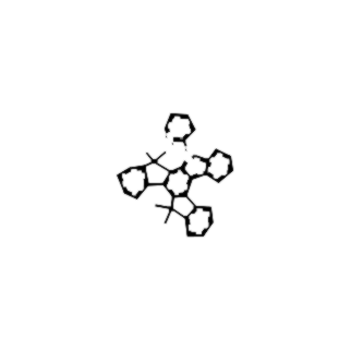 CC1(C)c2ccccc2-c2c1c1c(c3c2c2ccccc2n3-c2ccccn2)C(C)(C)c2ccccc2-1